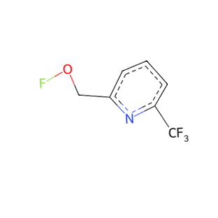 FOCc1cccc(C(F)(F)F)n1